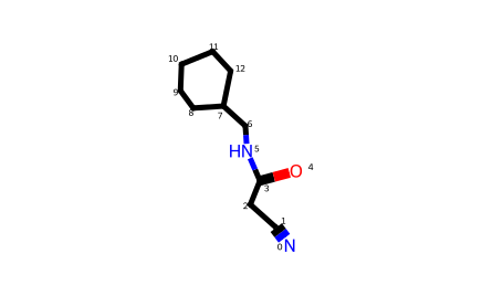 N#CCC(=O)NCC1CCCCC1